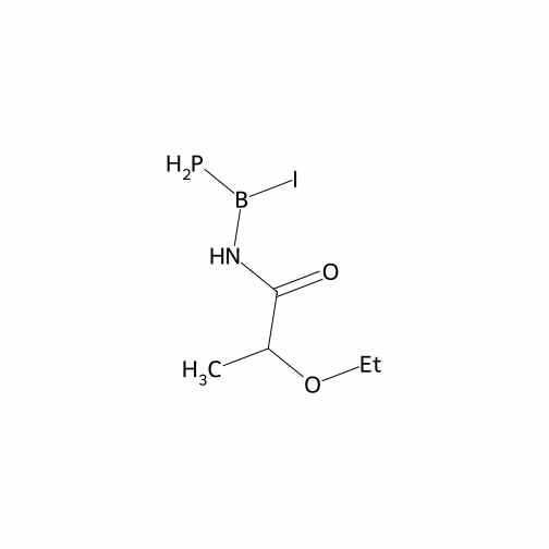 CCOC(C)C(=O)NB(P)I